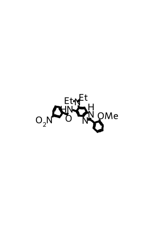 CCN(CC)c1cc2[nH]c(-c3ccccc3OC)nc2cc1NC(=O)c1cccc([N+](=O)[O-])c1